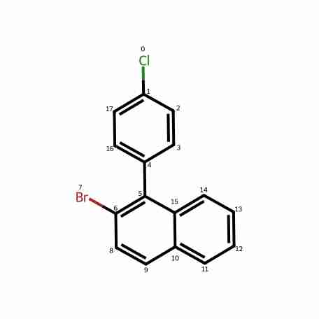 Clc1ccc(-c2c(Br)ccc3ccccc23)cc1